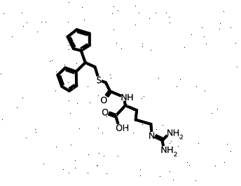 NC(N)=NCCCC(NC(=O)CSCC(c1ccccc1)c1ccccc1)C(=O)O